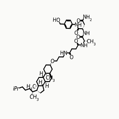 CC(C)CCC[C@@H](C)[C@H]1CC[C@H]2[C@@H]3CC=C4C[C@@H](OCCCNC(=O)CCC(=O)N[C@@H](C)C(=O)N[C@@H](CC(N)=O)C(=O)Nc5ccc(CO)cc5)CC[C@]4(C)[C@H]3CC[C@]12C